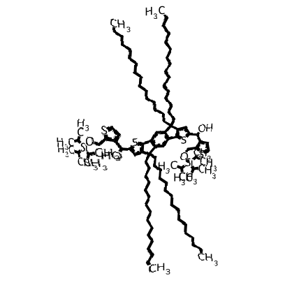 CCCCCCCCCCCCCCCCC1(CCCCCCCCCCCCCCCC)c2cc3c(cc2-c2sc(C(O)c4ccsc4CO[Si](C(C)C)(C(C)C)C(C)C)cc21)C(CCCCCCCCCCCCCCCC)(CCCCCCCCCCCCCCCC)c1cc(C(O)c2ccsc2CO[Si](C(C)C)(C(C)C)C(C)C)sc1-3